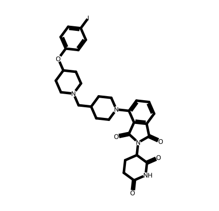 O=C1CCC(N2C(=O)c3cccc(N4CCC(CN5CCC(Oc6ccc(I)cc6)CC5)CC4)c3C2=O)C(=O)N1